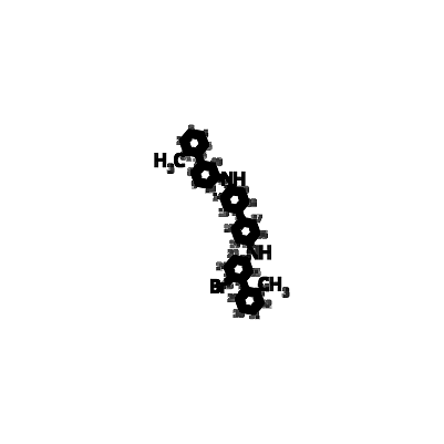 Cc1ccccc1-c1cccc(Nc2ccc(-c3ccc(Nc4ccc(Br)c(-c5ccccc5C)c4)cc3)cc2)c1